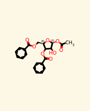 CC(=O)O[C@@H]1O[C@H](COC(=O)c2ccccc2)C(OC(=O)c2ccccc2)C1O